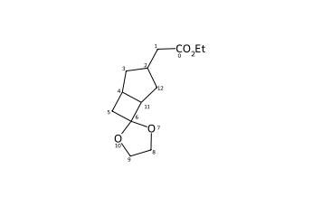 CCOC(=O)CC1CC2CC3(OCCO3)C2C1